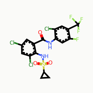 O=C(Nc1cc(F)c(C(F)(F)F)cc1Cl)c1cc(Cl)cc(Cl)c1NS(=O)(=O)C1CC1